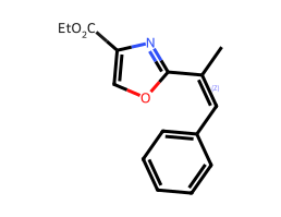 CCOC(=O)c1coc(/C(C)=C\c2ccccc2)n1